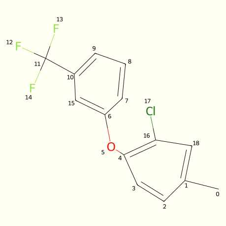 Cc1ccc(Oc2cccc(C(F)(F)F)c2)c(Cl)c1